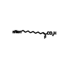 CCCCCCCCCCCCCCCCCC=C(F)C(=O)O